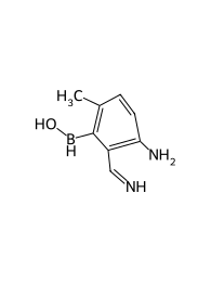 Cc1ccc(N)c(C=N)c1BO